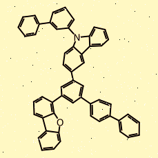 c1ccc(-c2ccc(-c3cc(-c4ccc5c(c4)c4ccccc4n5-c4cccc(-c5ccccc5)c4)cc(-c4cccc5c4oc4ccccc45)c3)cc2)cc1